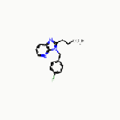 O=C(O)CCc1nc2cccnc2n1Cc1ccc(F)cc1